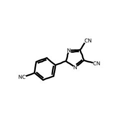 N#CC1=NC(c2ccc(C#N)cc2)N=C1C#N